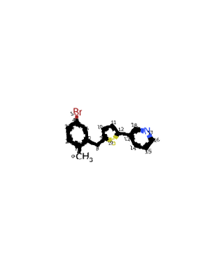 Cc1ccc(Br)cc1Cc1ccc(-c2cccnc2)s1